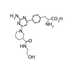 Nc1nc(-c2ccc(CC(N)C(=O)O)cc2)cc(N2CCCC(C(=O)NCCO)C2)n1